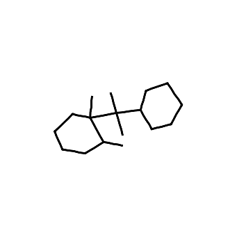 CC1CCCCC1(C)C(C)(C)C1CCCCC1